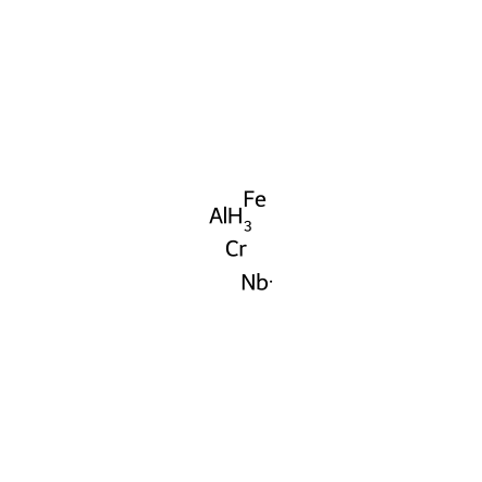 [AlH3].[Cr].[Fe].[Nb]